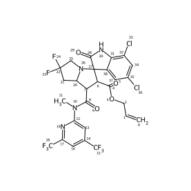 C=CCOC(=O)C1C(C(=O)N(C)c2cc(C(F)(F)F)cc(C(F)(F)F)n2)C2CC(F)(F)CN2C12C(=O)Nc1c(Cl)cc(Cl)cc12